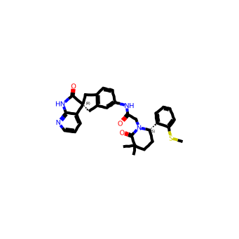 CSc1ccccc1[C@@H]1CCC(C)(C)C(=O)N1CC(=O)Nc1ccc2c(c1)C[C@@]1(C2)C(=O)Nc2ncccc21